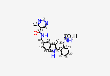 Cc1ncncc1C(=O)NCc1ccc2[nH]c(-c3ccccc3CNC(=O)O)c(C)c2c1